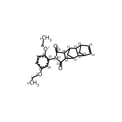 CCOc1ccc(OCC)c(N2C(=O)C3C4CC(C3C2=O)C2C3C=CC(C3)C42)c1